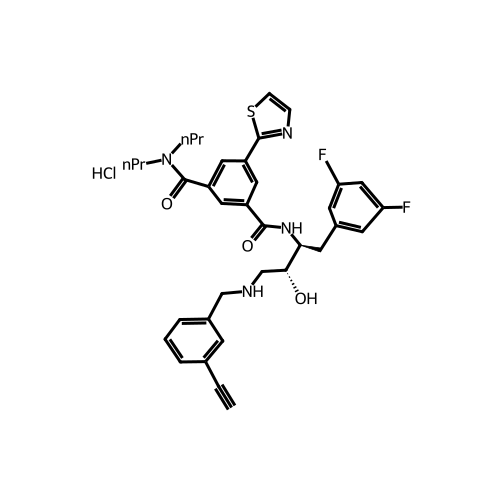 C#Cc1cccc(CNC[C@@H](O)[C@H](Cc2cc(F)cc(F)c2)NC(=O)c2cc(C(=O)N(CCC)CCC)cc(-c3nccs3)c2)c1.Cl